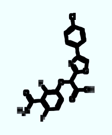 NC(=O)c1c(F)ccc(OC(C(=O)O)c2nc(-c3ccc(Cl)cc3)co2)c1F